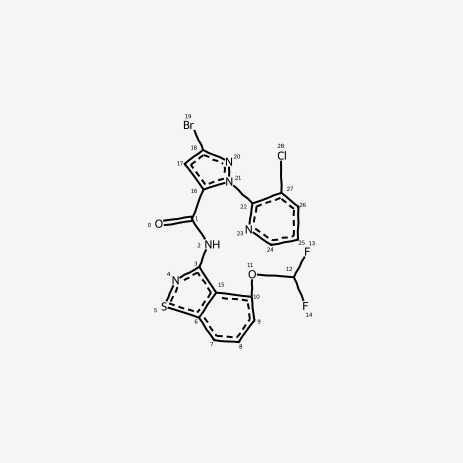 O=C(Nc1nsc2cccc(OC(F)F)c12)c1cc(Br)nn1-c1ncccc1Cl